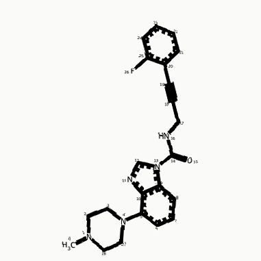 CN1CCN(c2cccc3c2ncn3C(=O)NCC#Cc2ccccc2F)CC1